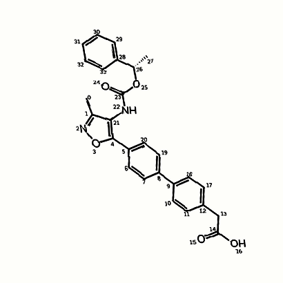 Cc1noc(-c2ccc(-c3ccc(CC(=O)O)cc3)cc2)c1NC(=O)O[C@@H](C)c1ccccc1